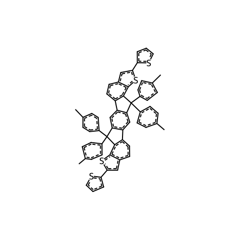 Cc1ccc(C2(c3ccc(C)cc3)c3cc4c(cc3-c3ccc5cc(-c6cccs6)sc5c32)C(c2ccc(C)cc2)(c2ccc(C)cc2)c2c-4ccc3cc(-c4cccs4)sc23)cc1